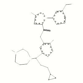 Cc1cc(C(=O)Cc2cc(C(CCC3CC3)N3CCCN(C)CC3)ccc2F)n(-c2cccc(CN)c2)n1